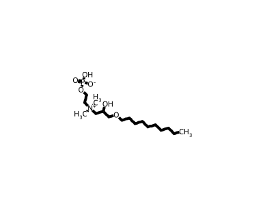 CCCCCCCCCCOCC(O)C[N+](C)(C)CCOP(=O)([O-])O